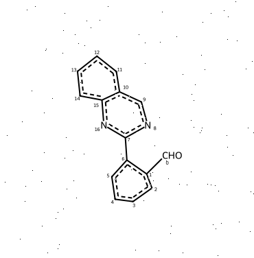 O=Cc1ccccc1-c1ncc2ccccc2n1